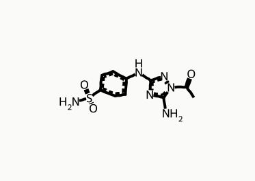 CC(=O)n1nc(Nc2ccc(S(N)(=O)=O)cc2)nc1N